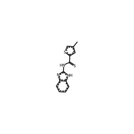 Cc1csc(C(=S)Nc2nc3ccccc3[nH]2)c1